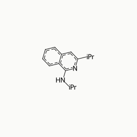 CC(C)Nc1nc(C(C)C)cc2ccccc12